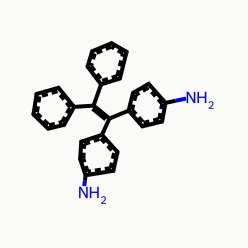 Nc1ccc(C(=C(c2ccccc2)c2ccccc2)c2ccc(N)cc2)cc1